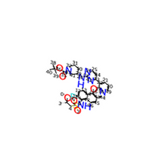 CO[C@@H](C)CS(=O)(=O)Nc1c(F)ccc2c(Oc3ncccc3-c3ccnc(N[C@H]4CCCN(C(=O)OC(C)(C)C)C4)n3)c(C)ccc12